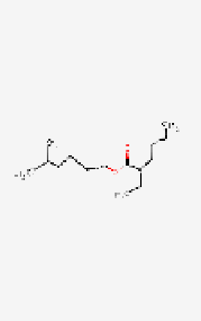 CCCCC(CC)C(=O)OCCCCC(C)C